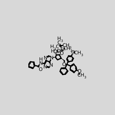 COc1ccc(C(OC[C@H]2C[C@@H](n3cnc4c(NC(=O)c5ccccc5)ncnc43)[C@H](O)C2O[Si](C)(C)C(C)(C)C)(c2ccccc2)c2ccc(OC)cc2)cc1